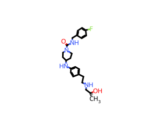 C[C@H](O)CNCCc1ccc(NC2CCN(C(=O)NCc3ccc(F)cc3)CC2)cc1